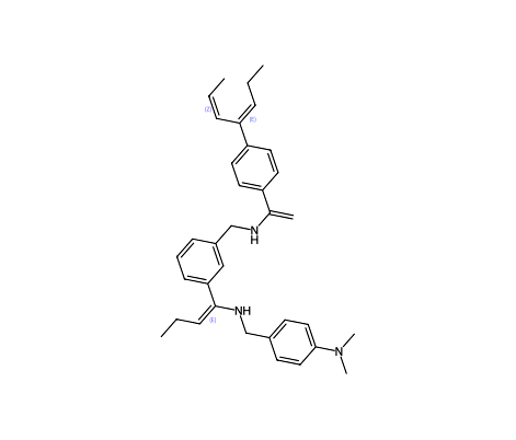 C=C(NCc1cccc(/C(=C\CC)NCc2ccc(N(C)C)cc2)c1)c1ccc(C(/C=C\C)=C/CC)cc1